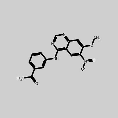 COc1cc2ncnc(Nc3cccc(C(C)=O)c3)c2cc1[N+](=O)[O-]